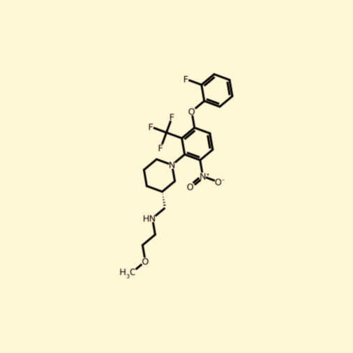 COCCNC[C@@H]1CCCN(c2c([N+](=O)[O-])ccc(Oc3ccccc3F)c2C(F)(F)F)C1